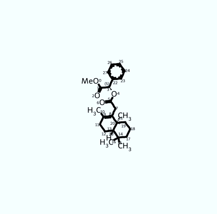 COC(=O)[C@@H](OC(=O)CC1=C(C)CC[C@H]2C(C)(C)CCC[C@]12C)c1ccccc1